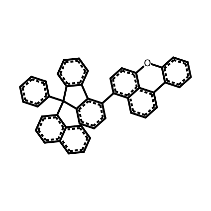 c1ccc(C2(c3cccc4ccccc34)c3ccccc3-c3c(-c4ccc5c6c(cccc46)-c4ccccc4O5)cccc32)cc1